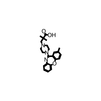 Cc1ccc2c(c1)C(N1CCN(CC(C)(C)C(=O)O)CC1)=Nc1ccccc1O2